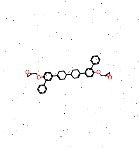 C1=C(c2ccc(OCC3CO3)c(-c3ccccc3)c2)CCC(C2CC=C(c3ccc(OCC4CO4)c(-c4ccccc4)c3)CC2)C1